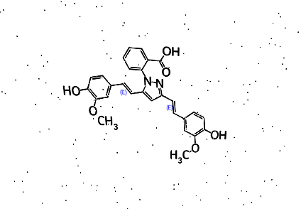 COc1cc(/C=C/c2cc(/C=C/c3ccc(O)c(OC)c3)n(-c3ccccc3C(=O)O)n2)ccc1O